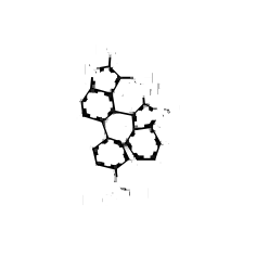 CCn1c(C)c(-c2c(-c3ccc(N(C)C)cc3)ccc3[nH]c(C)c(C)c23)c2ccccc21